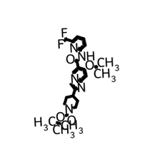 CC(C)Oc1cc2nc(C3CCN(C(=O)OC(C)(C)C)CC3)cn2cc1C(=O)Nc1cccc(C(F)F)n1